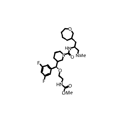 CNCC(CC1CCCCOC1)NC(=O)N1CCCC([C@@H](OCCNC(=O)OC)c2cc(F)cc(F)c2)C1